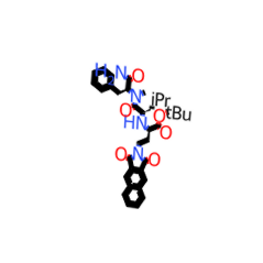 CC(C)C[C@H](N[C@H](CCN1C(=O)c2cc3ccccc3cc2C1=O)C(=O)OC(C)(C)C)C(=O)N(C)[C@@H](Cc1ccccc1)C(N)=O